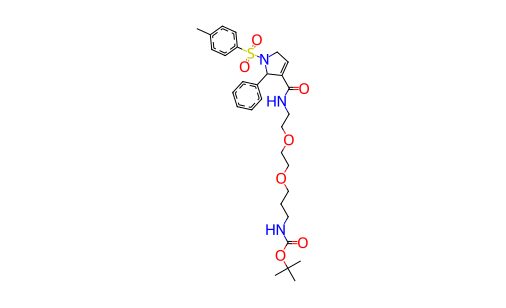 Cc1ccc(S(=O)(=O)N2CC=C(C(=O)NCCOCCOCCCNC(=O)OC(C)(C)C)C2c2ccccc2)cc1